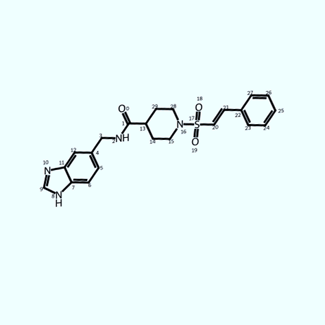 O=C(NCc1ccc2[nH]cnc2c1)C1CCN(S(=O)(=O)/C=C/c2ccccc2)CC1